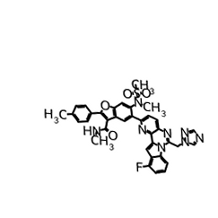 CNC(=O)c1c(-c2ccc(C)cc2)oc2cc(N(C)S(C)(=O)=O)c(-c3ccc4nc(Cn5cncn5)n5c6cccc(F)c6cc5c4n3)cc12